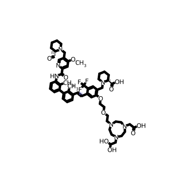 COc1cc(C(=O)Nc2cccc(-c3cccc(/C=C/c4cc(OCCOCCN5CCN(CC(=O)O)CCN(CC(O)O)CC5)c(CN5CCCC[C@H]5C(=O)O)cc4C(F)(F)F)c3C)c2C)ncc1CN1CCCC[C@H]1C=O